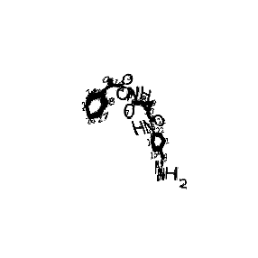 CC(C(=O)ONC(=O)C1CC1C(=O)Nc1ccc(C=NN)cc1)c1ccccc1